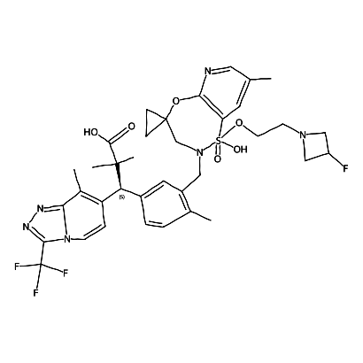 Cc1cnc2c(c1)S(=O)(O)(OCCN1CC(F)C1)N(Cc1cc([C@@H](c3ccn4c(C(F)(F)F)nnc4c3C)C(C)(C)C(=O)O)ccc1C)CC1(CC1)O2